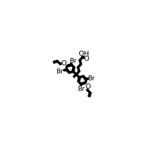 C=CCOc1c(Br)cc(C(C)(CCCCC(=O)O)c2cc(Br)c(OCC=C)c(Br)c2)cc1Br